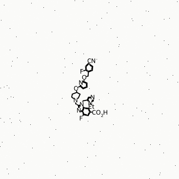 CCn1cncc1Cn1c(CN2CCC(Oc3cccc(OCc4ccc(C#N)cc4F)n3)CC2)nc2c(F)cc(C(=O)O)cc21